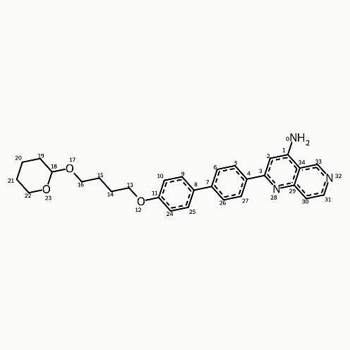 Nc1cc(-c2ccc(-c3ccc(OCCCCOC4CCCCO4)cc3)cc2)nc2ccncc12